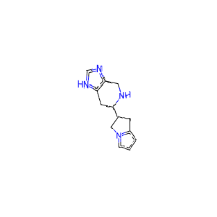 c1cc2n(c1)CC(C1Cc3[nH]cnc3CN1)C2